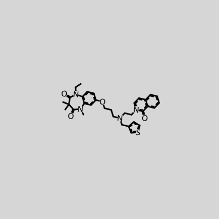 CCN1C(=O)C(C)(C)C(=O)N(C)c2cc(OCCCN(CCn3ccc4ccccc4c3=O)Cc3ccsc3)ccc21